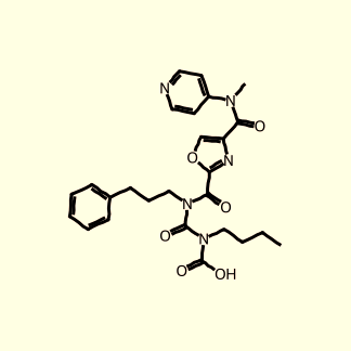 CCCCN(C(=O)O)C(=O)N(CCCc1ccccc1)C(=O)c1nc(C(=O)N(C)c2ccncc2)co1